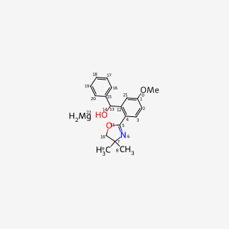 COc1ccc(C2=NC(C)(C)CO2)c(C(O)c2ccccc2)c1.[MgH2]